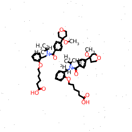 [2H]C(C)(C)N(Cc1ccccc1OCCCCCC(=O)O)C(=O)c1ccc(C2(OC)CCOCC2)cc1.[2H]C([2H])(c1ccccc1OCCCCCC(=O)O)N(C(=O)c1ccc(C2(OC)CCOCC2)cc1)C(C)C